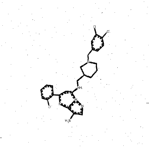 Bc1cnn2c(NCC3CCCN(Cc4ccc(Cl)c(Cl)c4)C3)cc(-c3ccccc3Cl)nc12